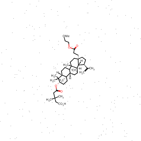 C=C(C)[C@@H]1CC[C@]2(CCC(=O)OCCOC)CC[C@]3(C)[C@H](CC[C@@H]4[C@@]5(C)CC[C@H](OC(=O)CC(C)(C)CC(=O)O)C(C)(C)[C@@H]5CC[C@]43C)[C@@H]12